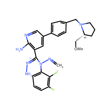 C=NN(/C(=N\N)c1cc(-c2ccc(CN3CCC[C@@H]3COC)cc2)cnc1N)c1cccc(F)c1F